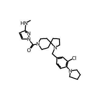 CNc1ccn(C(=O)N2CCC3(CCCN3Cc3ccc(N4CCCC4)c(Cl)c3)CC2)n1